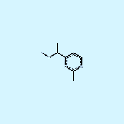 COC(C)c1ccnc(C)n1